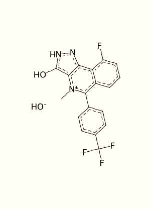 C[n+]1c(-c2ccc(C(F)(F)F)cc2)c2cccc(F)c2c2n[nH]c(O)c21.[OH-]